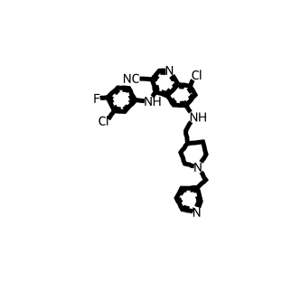 N#Cc1cnc2c(Cl)cc(NCC3CCN(Cc4cccnc4)CC3)cc2c1Nc1ccc(F)c(Cl)c1